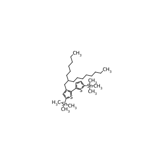 CCCCCCCCC(CCCCCC)Cc1c[c]([Sn]([CH3])([CH3])[CH3])sc1-c1cc[c]([Sn]([CH3])([CH3])[CH3])s1